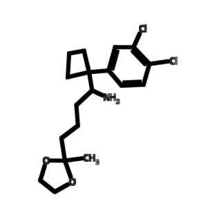 CC1(CCCC(N)C2(c3ccc(Cl)c(Cl)c3)CCC2)OCCO1